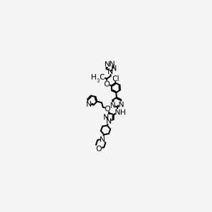 CC(Cn1cnnn1)Oc1cc(-c2cnc(Nc3cn(C4CCC(N5CCOCC5)CC4)nc3OCCc3cccnc3)nc2)ccc1Cl